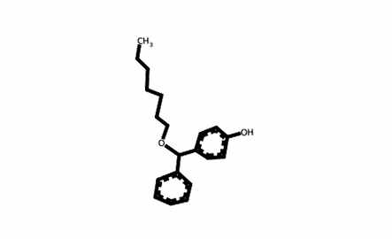 CCCCCCCOC(c1ccccc1)c1ccc(O)cc1